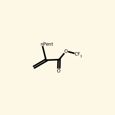 C=C(CCCCC)C(=O)OC(F)(F)F